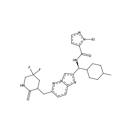 CCn1nccc1C(=O)N[C@H](c1cn2nc(CC3CC(F)(F)CNC3=O)ccc2n1)C1CCC(C)CC1